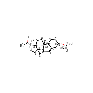 CCC(=O)[C@H]1CC[C@H]2C3=CC=C4C[C@@H](O[Si](C)(C)C(C)(C)C)CC[C@]4(C)[C@H]3CC[C@]12C